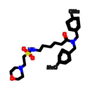 COc1ccc(CN(Cc2ccc(OC)cc2)C(=O)CCCCCNS(=O)(=O)CCN2CCOCC2)cc1